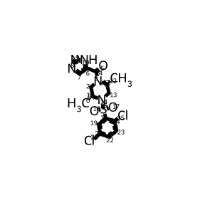 C[C@@H]1CN(C(=O)c2cnn[nH]2)[C@@H](C)CN1S(=O)(=O)c1cc(Cl)ccc1Cl